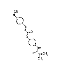 C=C(C)C(=O)NC1CCC(OC(=O)/C=C/c2ccc(OC#N)cc2)CC1